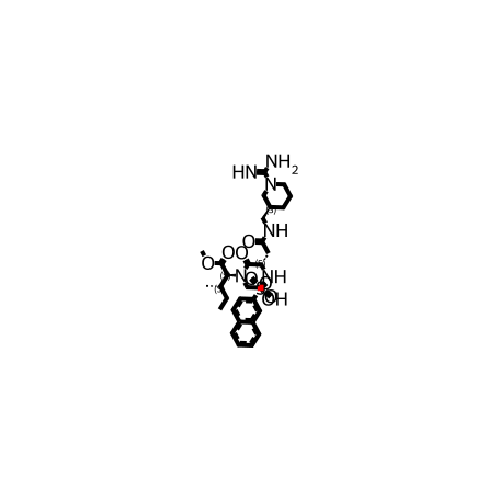 CC[C@H](C)[C@@H](C(=O)OC)N(CC(=O)O)C(=O)[C@H](CC(=O)NC[C@@H]1CCCN(C(=N)N)C1)NS(=O)(=O)c1ccc2ccccc2c1